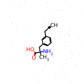 C#CCc1cccc(CC(C)(N)C(=O)O)c1